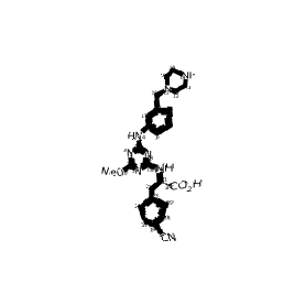 COc1nc(Nc2cccc(CN3CCNCC3)c2)nc(N[C@@H](Cc2ccc(C#N)cc2)C(=O)O)n1